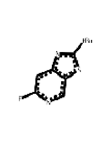 CC(C)(C)c1nc2cc(F)ncc2s1